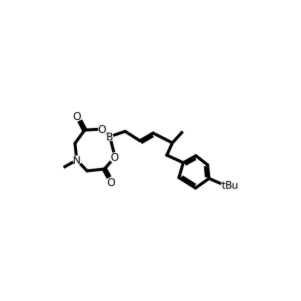 CC(C=CCB1OC(=O)CN(C)CC(=O)O1)Cc1ccc(C(C)(C)C)cc1